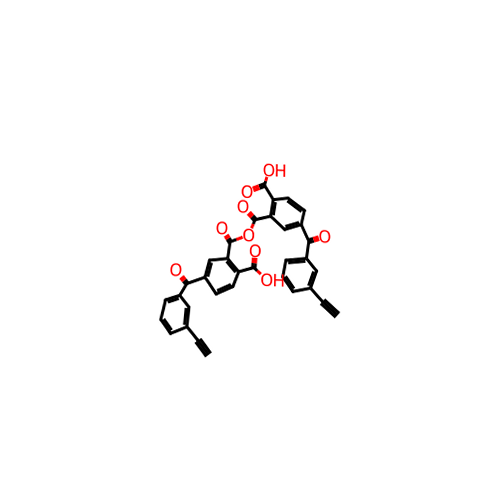 C#Cc1cccc(C(=O)c2ccc(C(=O)O)c(C(=O)OC(=O)c3cc(C(=O)c4cccc(C#C)c4)ccc3C(=O)O)c2)c1